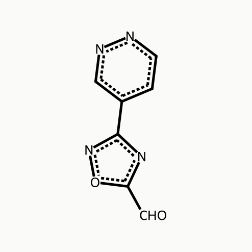 O=Cc1nc(-c2ccnnc2)no1